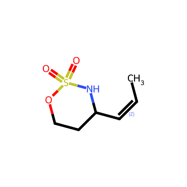 C/C=C\C1CCOS(=O)(=O)N1